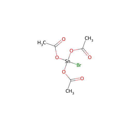 CC(=O)[O][Sn]([Br])([O]C(C)=O)[O]C(C)=O